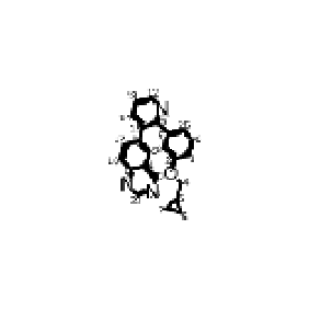 c1cc(OCC2CC2)cc(-c2ncccc2-c2ccc3ncncc3c2)c1